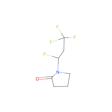 O=C1CCCN1C(F)CC(F)(F)F